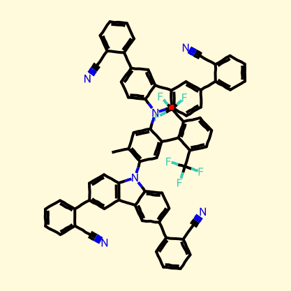 Cc1cc(-n2c3ccc(-c4ccccc4C#N)cc3c3cc(-c4ccccc4C#N)ccc32)c(-c2c(C(F)(F)F)cccc2C(F)(F)F)cc1-n1c2ccc(-c3ccccc3C#N)cc2c2cc(-c3ccccc3C#N)ccc21